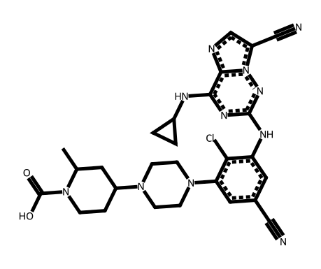 CC1CC(N2CCN(c3cc(C#N)cc(Nc4nc(NC5CC5)c5ncc(C#N)n5n4)c3Cl)CC2)CCN1C(=O)O